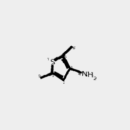 Cc1cc(N)c(C)s1